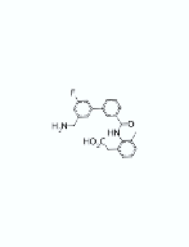 Cc1cccc(CC(=O)O)c1NC(=O)c1cccc(-c2cc(F)cc(CN)c2)c1